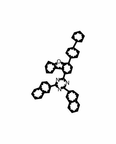 c1ccc(-c2ccc(-c3ccc(-c4nc(-c5ccc6ccccc6c5)nc(-c5ccc6ccccc6c5)n4)c4c3oc3ccccc34)cc2)cc1